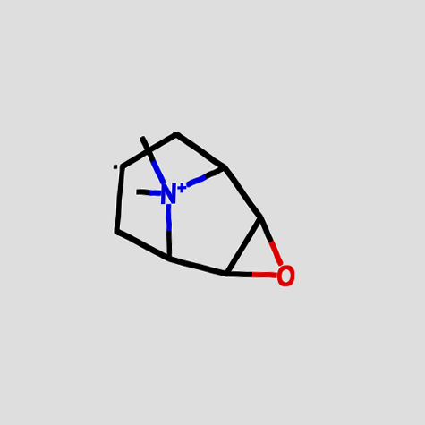 C[N+]1(C)C2C[CH]CC1C1OC12